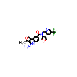 CC1OCc2c1c(N)nc1ccc(C(=O)N(Cc3ccc(C(F)(F)F)cn3)C3CCOC3)cc21